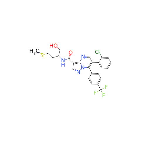 CSCCC(CO)NC(=O)c1cnn2c(-c3ccc(C(F)(F)F)cc3)c(-c3ccccc3Cl)cnc12